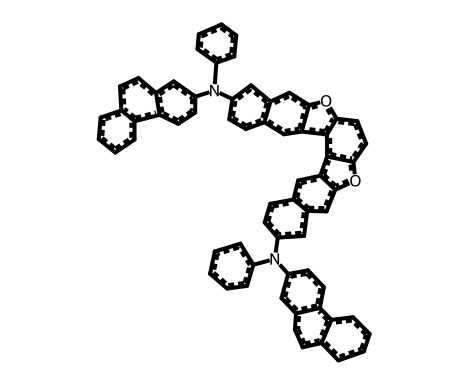 c1ccc(N(c2ccc3cc4c(cc3c2)oc2ccc3oc5cc6cc(N(c7ccccc7)c7ccc8c(ccc9ccccc98)c7)ccc6cc5c3c24)c2ccc3c(ccc4ccccc43)c2)cc1